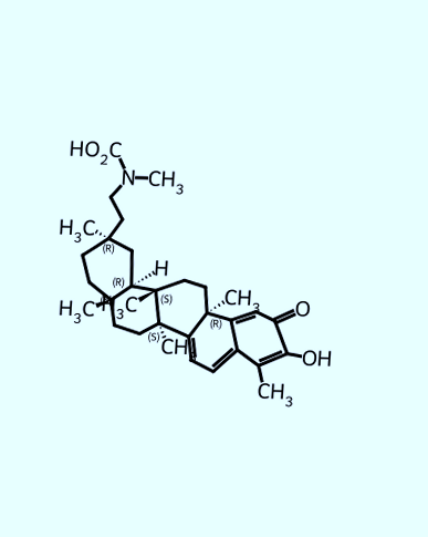 CC1=C(O)C(=O)C=C2C1=CC=C1[C@@]2(C)CC[C@@]2(C)[C@@H]3C[C@](C)(CCN(C)C(=O)O)CC[C@@]3(C)CC[C@]12C